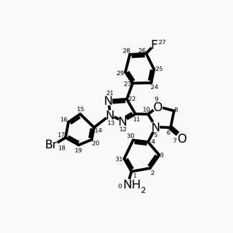 Nc1ccc(N2C(=O)COC2c2nn(-c3ccc(Br)cc3)nc2-c2ccc(F)cc2)cc1